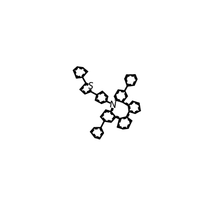 c1ccc(-c2ccc3c(c2)c2ccccc2c2ccccc2c2cc(-c4ccccc4)ccc2n3-c2ccc(-c3ccc(-c4ccccc4)s3)cc2)cc1